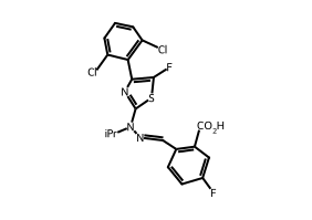 CC(C)N(/N=C/c1ccc(F)cc1C(=O)O)c1nc(-c2c(Cl)cccc2Cl)c(F)s1